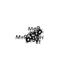 CCOC1Oc2c(c(=O)oc3c(OC)cccc23)C1c1c(O)c2cccc(OC)c2oc1=O